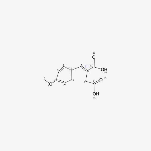 COc1ccc(/C=C(\CC(=O)O)C(=O)O)cc1